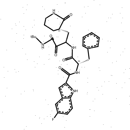 CC(C)(C)NC(=O)C(=O)C(C[C@@H]1CCCNC1=O)NC(=O)[C@H](Cc1ccccc1)NC(=O)c1cc2cc(F)ccc2[nH]1